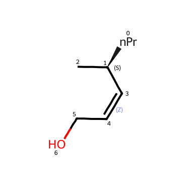 CCC[C@H](C)/C=C\CO